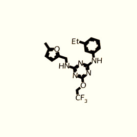 CCc1cccc(Nc2nc(NCc3ccc(C)o3)nc(OCC(F)(F)F)n2)c1